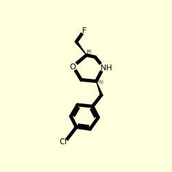 FC[C@H]1CN[C@@H](Cc2ccc(Cl)cc2)CO1